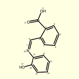 O=C(O)c1ccccc1/C=N\c1ccccc1O